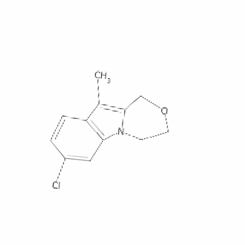 Cc1c2n(c3cc(Cl)ccc13)CCOC2